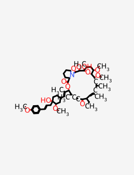 CCC1/C=C(\C)CC(C)CC(OC)C2OC(O)(C(=O)C(=O)N3CCCCC3C(=O)OC(C(C)=CC3CCC(O)(CC=Cc4ccc(OC)cc4)C(OC)C3)C(C)CCC1=O)C(C)CC2OC